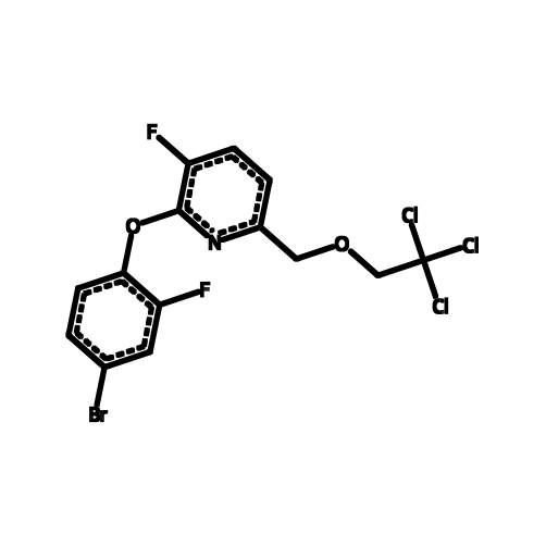 Fc1cc(Br)ccc1Oc1nc(COCC(Cl)(Cl)Cl)ccc1F